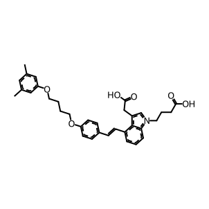 Cc1cc(C)cc(OCCCCOc2ccc(/C=C/c3cccc4c3c(CC(=O)O)cn4CCCC(=O)O)cc2)c1